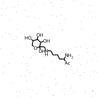 CC(=O)C(N)CCCCNCC1(O)OCC(O)C(O)C1O